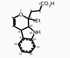 CCC1(CCC(=O)O)OC=CC2c3ccccc3NC21